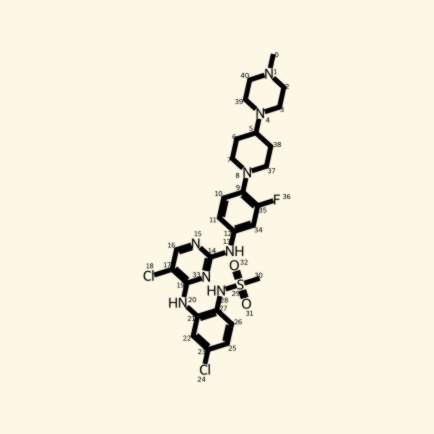 CN1CCN(C2CCN(c3ccc(Nc4ncc(Cl)c(Nc5cc(Cl)ccc5NS(C)(=O)=O)n4)cc3F)CC2)CC1